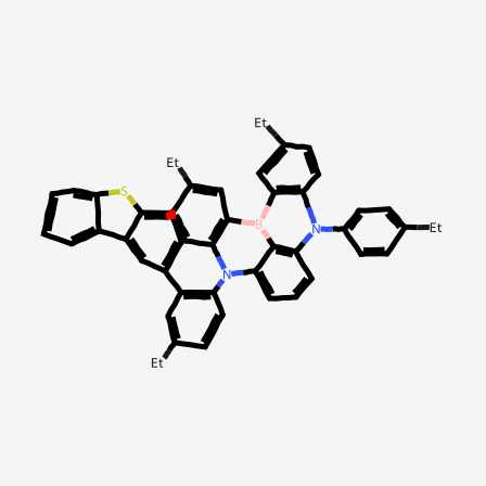 CCc1ccc(N2c3ccc(CC)cc3B3c4cc(CC)ccc4N(c4ccc(CC)cc4-c4ccc5sc6ccccc6c5c4)c4cccc2c43)cc1